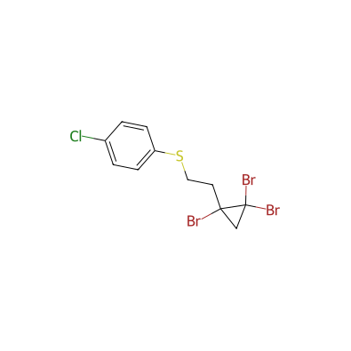 Clc1ccc(SCCC2(Br)CC2(Br)Br)cc1